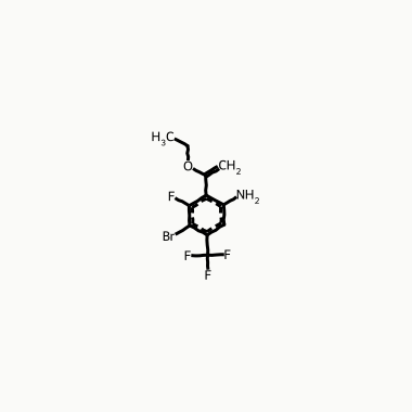 C=C(OCC)c1c(N)cc(C(F)(F)F)c(Br)c1F